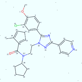 COc1ccc(-c2nc(-c3ccncc3)nn2CCN(C(=O)C2=CCC=C2C)C2CCCC2)cc1Cl